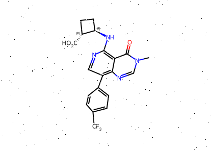 Cn1cnc2c(-c3ccc(C(F)(F)F)cc3)cnc(N[C@@H]3CC[C@H]3C(=O)O)c2c1=O